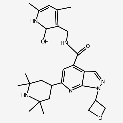 CC1=CC(C)=C(CNC(=O)c2cc(C3CC(C)(C)NC(C)(C)C3)nc3c2cnn3C2COC2)C(O)N1